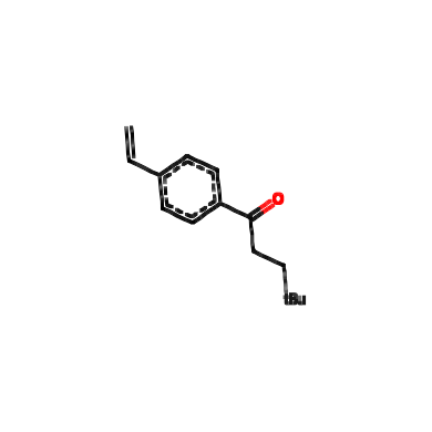 C=Cc1ccc(C(=O)CCC(C)(C)C)cc1